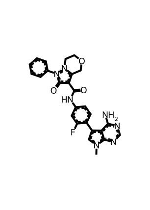 Cn1cc(-c2ccc(NC(=O)c3c4n(n(-c5ccccc5)c3=O)CCOC4)cc2F)c2c(N)ncnc21